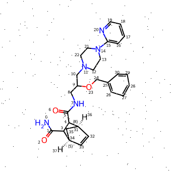 NC(=O)C1C(C(=O)NCC(CN2CCN(c3ccccn3)CC2)OCc2ccccc2)[C@H]2C=C[C@@H]1C2